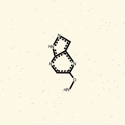 CCCOc1cnc2[nH]ncc2n1